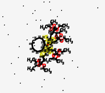 CCO[Si](CCCS(S)(SS)/C1=C(\S(S)(CCC[Si](OCC)(OCC)OCC)SS)C(S(S)(CCC[Si](OCC)(OCC)OCC)SS)(S(S)(CCC[Si](OCC)(OCC)OCC)SS)CCCCCCCCC1)(OCC)OCC